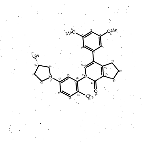 COc1cc(OC)cc(-c2nn(-c3cc(N4CC[C@H](O)C4)ccc3C(F)(F)F)c(=O)c3c2CCC3)c1